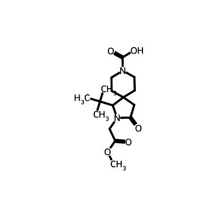 COC(=O)CN1C(=O)CC2(CCN(C(=O)O)CC2)C1C(C)(C)C